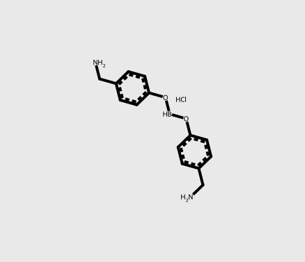 Cl.NCc1ccc(OBOc2ccc(CN)cc2)cc1